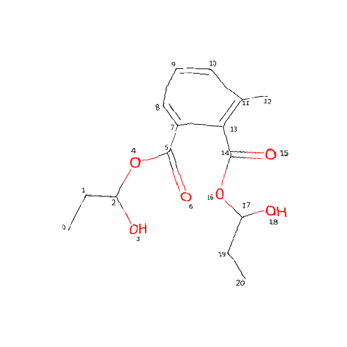 CCC(O)OC(=O)c1cccc(C)c1C(=O)OC(O)CC